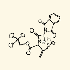 C=C1C[S+]([O-])[C@@H]2C(N3C(=O)c4ccccc4C3=O)C(=O)N2C1C(=O)OCC(Cl)(Cl)Cl